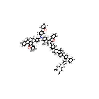 CCCCCCCC1(CCCCCCC)c2ccccc2-c2ccc(-c3ccc4c(c3)C(C)(C)C3C=C(c5ccc(C6=C7Oc8ccccc8C7C7C(=C6)C(C)(C)c6cc(N(c8ccc9c(c8)OC8=CC=CCC89)c8ccc9c(c8)C(C)(C)c8c%10c(c%11oc%12ccccc%12c%11c8-9)-c8ccccc8C%10(C)C)ccc67)cc5)C=CC43)cc21